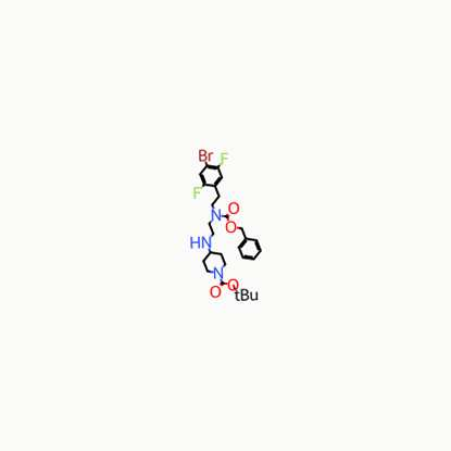 CC(C)(C)OC(=O)N1CCC(NCCN(CCc2cc(F)c(Br)cc2F)C(=O)OCc2ccccc2)CC1